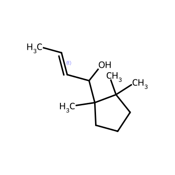 C/C=C/C(O)C1(C)CCCC1(C)C